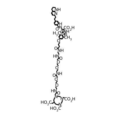 Cc1cc(OCCCC(=O)NCCNC(=O)COCCOCCNC(=O)COCCOCCNC(=O)CN2CCC(CC(=O)O)CCN(CC(=O)O)CCN(CC(=O)O)CC2)cc(C)c1S(=O)(=O)N[C@H](CNC(=O)c1ccc(CCc2ccc3c(n2)NCCC3)cc1)C(=O)O